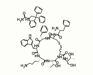 CC(O)[C@@H]1NC(=O)[C@H](CCCCN)NC(=O)[C@@H](Cc2c[nH]c3ccccc23)NC(=O)[C@H](Cc2ccccc2)NC(=O)[C@@H](NC(=O)[C@H](N)Cc2ccccc2)CSSC[C@@H](C(=O)N[C@H](CO)[C@@H](C)O)NC1=O.NC(=O)C(S)CC(c1ccccc1)(c1ccccc1)c1ccccc1